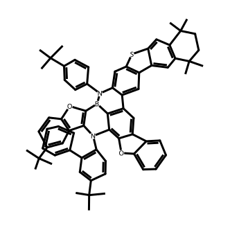 CC(C)(C)c1ccc(N2B3c4oc5ccc(C(C)(C)C)cc5c4N(c4ccc(C(C)(C)C)cc4-c4ccccc4)c4c3c(cc3c4oc4ccccc43)-c3cc4c(cc32)sc2cc3c(cc24)C(C)(C)CCC3(C)C)cc1